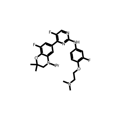 CC(C)N1CC(C)(C)Oc2c(F)cc(-c3nc(Nc4ccc(OCCN(C)C)c(F)c4)ncc3F)cc21